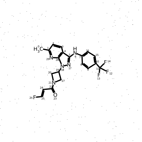 Cc1ccc2c(Nc3ccc(C(F)(F)F)cc3)nn(C3CN(C(=O)C=CF)C3)c2n1